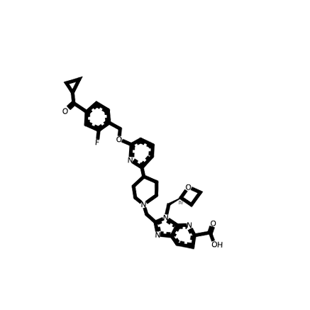 O=C(O)c1ccc2nc(CN3CCC(c4cccc(OCc5ccc(C(=O)C6CC6)cc5F)n4)CC3)n(C[C@@H]3CCO3)c2n1